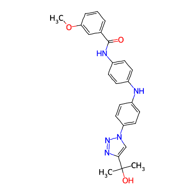 COc1cccc(C(=O)Nc2ccc(Nc3ccc(-n4cc(C(C)(C)O)nn4)cc3)cc2)c1